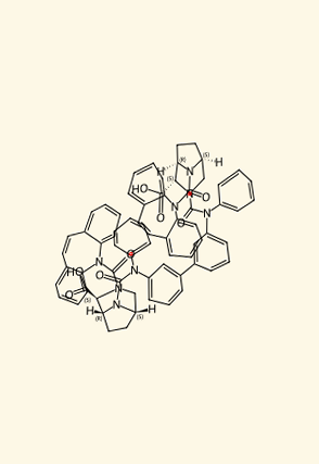 O=C(O)[C@@H]1[C@H]2CC[C@@H](CN1C(=O)N1c3ccccc3C=Cc3ccccc31)N2C(=O)N(c1ccccc1)c1cccc(-c2cccc(N(C(=O)N3C[C@@H]4CC[C@H]([C@H]3C(=O)O)N4C(=O)N3c4ccccc4C=Cc4ccccc43)c3ccccc3)c2)c1